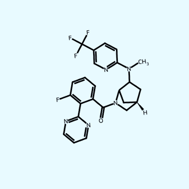 CN(c1ccc(C(F)(F)F)cn1)C1C[C@H]2CC1N(C(=O)c1cccc(F)c1-c1ncccn1)C2